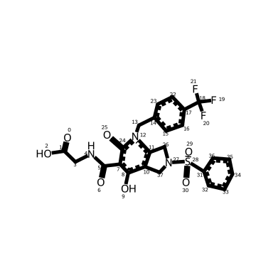 O=C(O)CNC(=O)c1c(O)c2c(n(Cc3ccc(C(F)(F)F)cc3)c1=O)CN(S(=O)(=O)c1ccccc1)C2